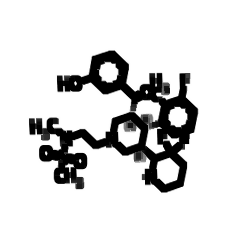 Cc1c(F)cccc1[C@H]1[C@@H](C(=O)c2cccc(O)c2)CN(CCN(C)S(C)(=O)=O)C[C@@H]1C1[N]CCCC1(F)F